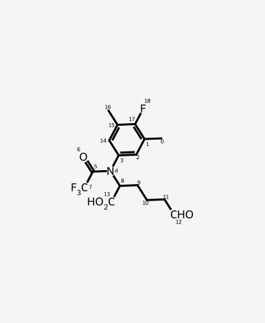 Cc1cc(N(C(=O)C(F)(F)F)C(CCCC=O)C(=O)O)cc(C)c1F